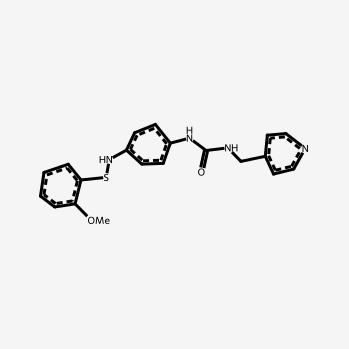 COc1ccccc1SNc1ccc(NC(=O)NCc2ccncc2)cc1